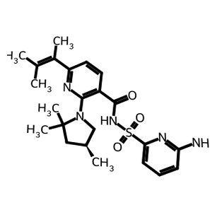 CC(C)=C(C)c1ccc(C(=O)NS(=O)(=O)c2cccc(N)n2)c(N2C[C@@H](C)CC2(C)C)n1